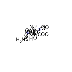 CO/N=C(\C(=O)N[C@@H]1C(=O)N2C(C(=O)[O-])=C(/C=C/C3CCC(=O)O3)CS[C@@H]12)c1csc(N)n1.[Na+]